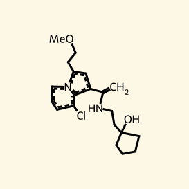 C=C(NCCC1(O)CCCC1)c1cc(CCOC)n2cccc(Cl)c12